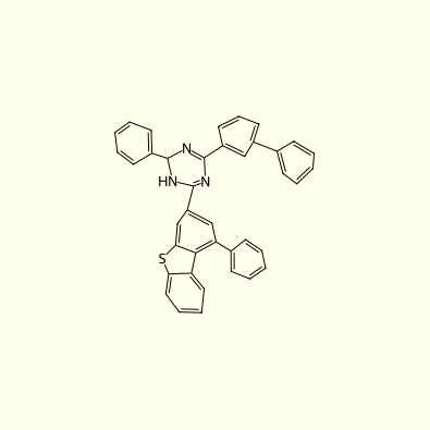 c1ccc(-c2cccc(C3=NC(c4ccccc4)NC(c4cc(-c5ccccc5)c5c(c4)sc4ccccc45)=N3)c2)cc1